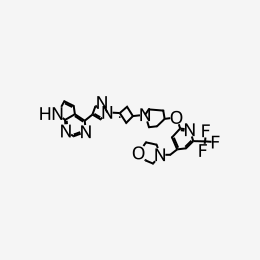 FC(F)(F)c1cc(CN2CCOCC2)cc(OC2CCN(C3C[C](n4cc(-c5ncnc6[nH]ccc56)cn4)C3)CC2)n1